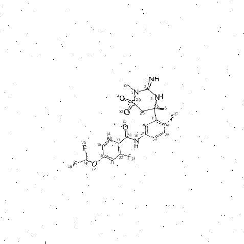 CN1C(=N)N[C@](C)(c2cc(NC(=O)c3ncc(OC(F)F)cc3F)ccc2F)CS1(=O)=O